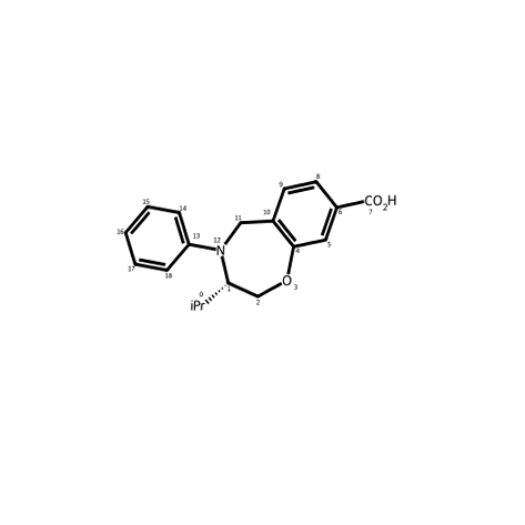 CC(C)[C@H]1COc2cc(C(=O)O)ccc2CN1c1ccccc1